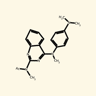 CC(=O)N(C)c1nc(N(C)c2ccc(N(C)C)cc2)c2ccccc2n1